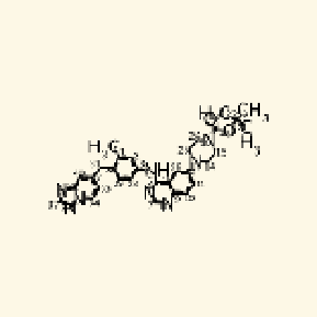 Cc1cc(Nc2ncnc3ccc(N4CCN(C(=O)OC(C)(C)C)CC4)cc23)ccc1Cc1ccn2ncnc2c1